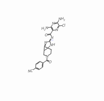 N#Cc1ccc(C(=O)N2CCC34N/C(=N/C(=O)c5nc(Cl)c(N)nc5N)N=C3C4C2)cc1